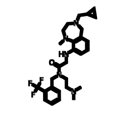 CN(C)CCN(Cc1ccccc1C(F)(F)F)C(=O)CNc1cccc2c1N(C)CCN(CC1CC1)C2